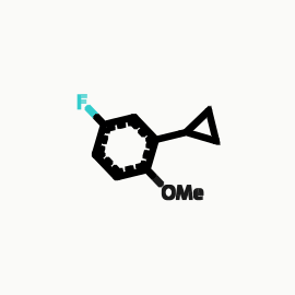 COc1ccc(F)cc1[C]1CC1